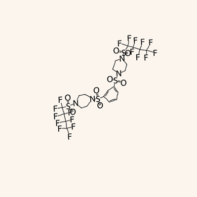 O=S(=O)(c1cccc(S(=O)(=O)N2CCN(S(=O)(=O)C(F)(F)C(F)(F)C(F)(F)C(F)(F)F)CC2)c1)N1CCN(S(=O)(=O)C(F)(F)C(F)(F)C(F)(F)C(F)(F)F)CC1